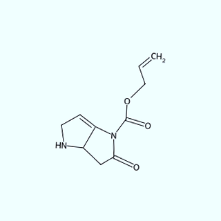 C=CCOC(=O)N1C(=O)CC2NCC=C21